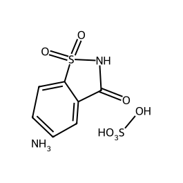 N.O=C1NS(=O)(=O)c2ccccc21.O=S(=O)(O)O